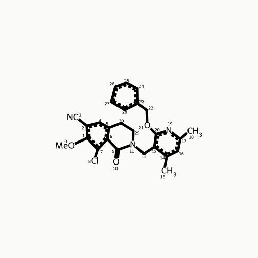 COc1c(C#N)cc2c(c1Cl)C(=O)N(Cc1c(C)cc(C)nc1OCc1ccccc1)CC2